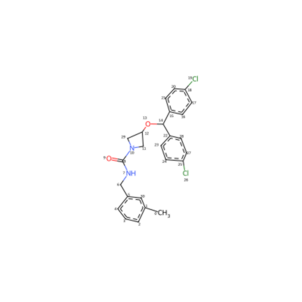 Cc1cccc(CNC(=O)N2CC(OC(c3ccc(Cl)cc3)c3ccc(Cl)cc3)C2)c1